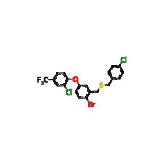 FC(F)(F)c1ccc(Oc2ccc(Br)c(CSCc3ccc(Cl)cc3)c2)c(Cl)c1